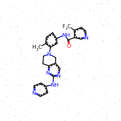 Cc1ccc(NC(=O)c2cnccc2C(F)(F)F)cc1N1CCc2nc(Nc3ccncc3)ncc2C1